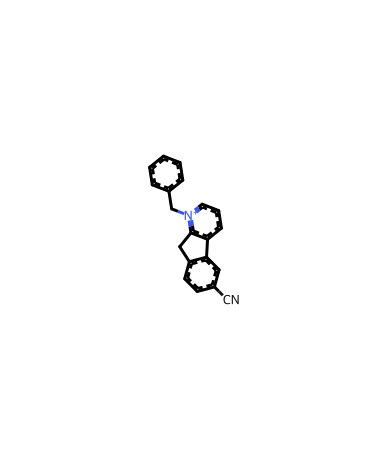 N#Cc1ccc2c(c1)-c1ccc[n+](Cc3ccccc3)c1C2